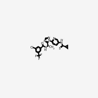 C[C@H](NC(=O)c1cc(Cl)cc(C(F)(F)F)c1)c1ncnn1-c1ccc(NC(=S)C2CC2)cn1